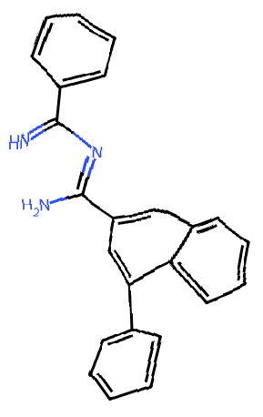 N=C(/N=C(\N)c1cc(-c2ccccc2)c2ccccc2c1)c1ccccc1